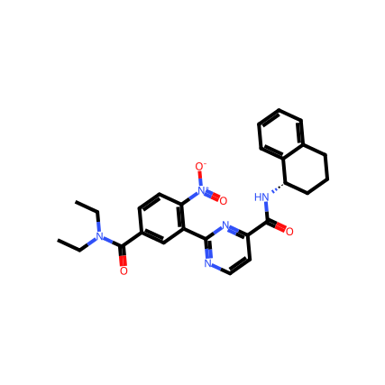 CCN(CC)C(=O)c1ccc([N+](=O)[O-])c(-c2nccc(C(=O)N[C@H]3CCCc4ccccc43)n2)c1